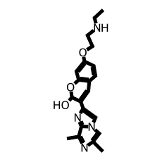 CCNCCOc1ccc2c(c1)OC(O)C(c1cn3cc(C)nc(C)c3n1)=C2